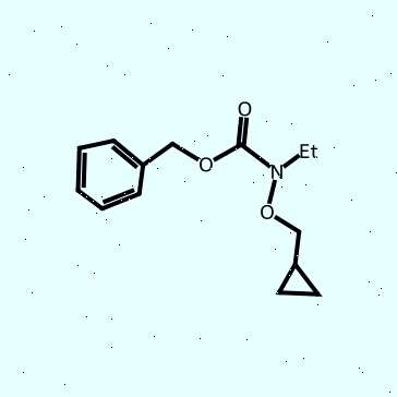 CCN(OCC1CC1)C(=O)OCc1ccccc1